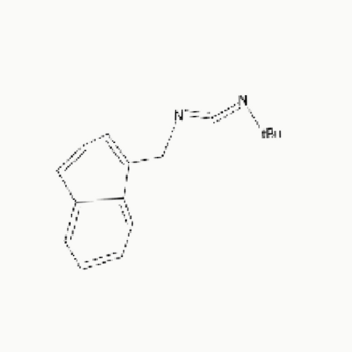 CC(C)(C)N=C=NCc1cccc2ccccc12